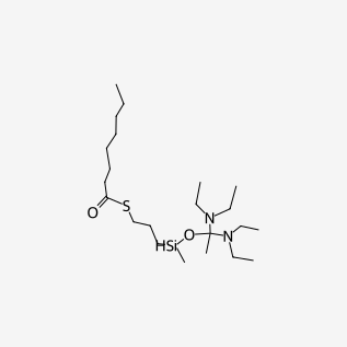 CCCCCCCC(=O)SCCC[SiH](C)OC(C)(N(CC)CC)N(CC)CC